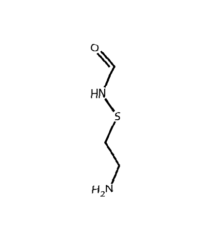 NCCSNC=O